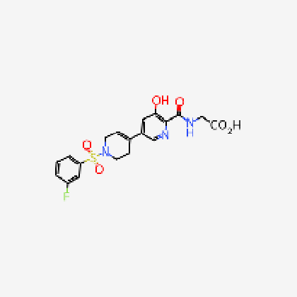 O=C(O)CNC(=O)c1ncc(C2=CCN(S(=O)(=O)c3cccc(F)c3)CC2)cc1O